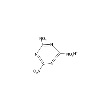 O=[N+]([O-])c1nc([N+](=O)[O-])nc([N+](=O)[O-])n1.[H+]